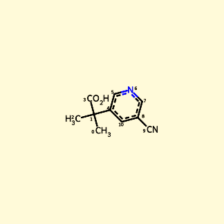 CC(C)(C(=O)O)c1cncc(C#N)c1